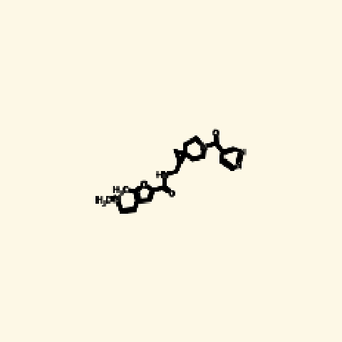 C=N/C=C\c1cc(C(=O)NCC2CC23CCN(C(=O)c2ccnnc2)CC3)oc1C